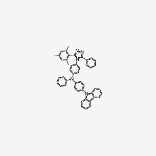 Cc1cc(C)c(-c2nnc(-c3ccccc3)n2-c2ccc(N(c3ccccc3)c3ccc(-n4c5ccccc5c5ccccc54)cc3)cc2)c(C)c1